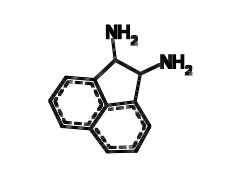 NC1c2cccc3cccc(c23)C1N